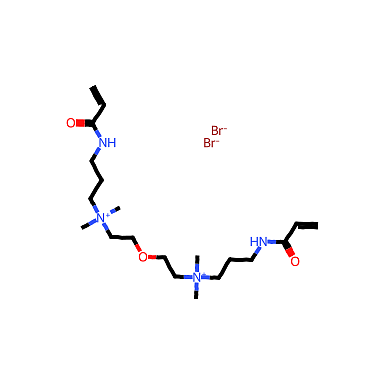 C=CC(=O)NCCC[N+](C)(C)CCOCC[N+](C)(C)CCCNC(=O)C=C.[Br-].[Br-]